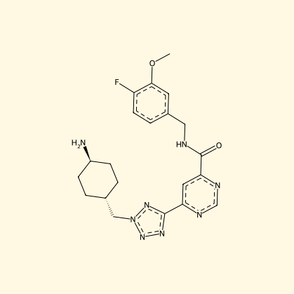 COc1cc(CNC(=O)c2cc(-c3nnn(C[C@H]4CC[C@H](N)CC4)n3)ncn2)ccc1F